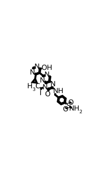 C[C@H](I)n1c(=O)c(NCc2ccc(S(N)(=O)=O)cc2)nc2cnc(-c3c(O)ncnc3C3CC3)nc21